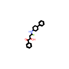 O=C(c1ccccc1)C(O)CC(F)NC1CCC(c2ccccc2)CC1